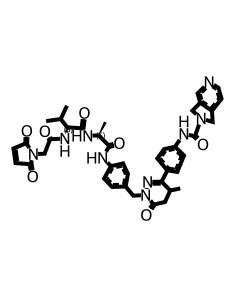 CC1CC(=O)N(Cc2ccc(NC(=O)[C@H](C)NC(=O)[C@@H](NC(=O)CN3C(=O)C=CC3=O)C(C)C)cc2)N=C1c1ccc(NC(=O)N2Cc3ccncc3C2)cc1